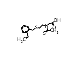 C=Cc1ccccc1CSCCN(CC(=O)O)C(C)=S